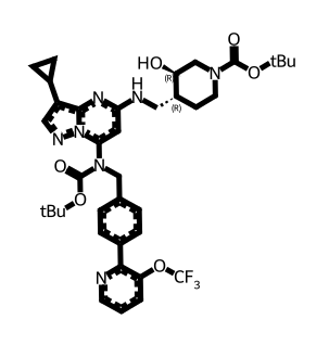 CC(C)(C)OC(=O)N1CC[C@H](CNc2cc(N(Cc3ccc(-c4ncccc4OC(F)(F)F)cc3)C(=O)OC(C)(C)C)n3ncc(C4CC4)c3n2)[C@@H](O)C1